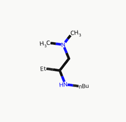 CCCCNC(CC)CN(C)C